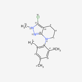 Cc1cc(C)c(N2CCCc3c2nn(C)c3Cl)c(C)c1